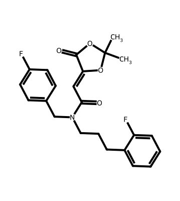 CC1(C)OC(=O)/C(=C/C(=O)N(CCCc2ccccc2F)Cc2ccc(F)cc2)O1